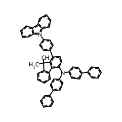 CC1(C)c2ccccc2-c2c(N(c3ccc(-c4ccccc4)cc3)c3ccc(-c4ccccc4)cc3)ccc(-c3ccc(-n4c5ccccc5c5ccccc54)cc3)c21